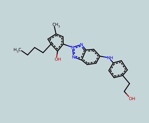 CCCCc1cc(C)cc(-n2nc3ccc(Nc4ccc(CCO)cc4)cc3n2)c1O